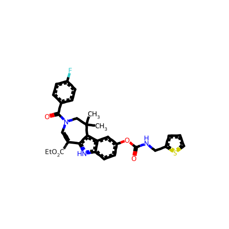 CCOC(=O)C1=CN(C(=O)c2ccc(F)cc2)CC(C)(C)c2c1[nH]c1ccc(OC(=O)NCc3cccs3)cc21